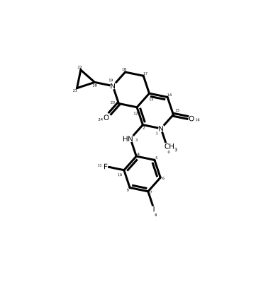 Cn1c(Nc2ccc(I)cc2F)c2c(cc1=O)CCN(C1CC1)C2=O